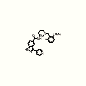 COc1cccc(F)c1CN1CCC[C@@H](NC(=O)c2ccc3[nH]nc(-c4ccncc4)c3c2)C1